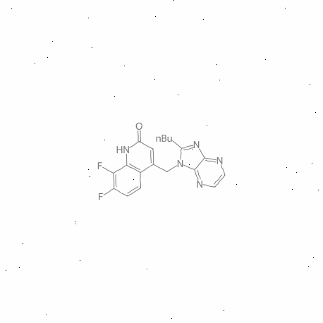 CCCCc1nc2nccnc2n1Cc1cc(=O)[nH]c2c(F)c(F)ccc12